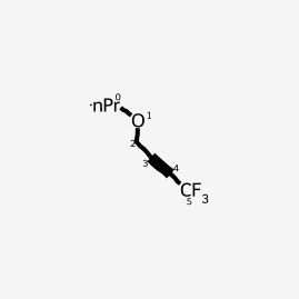 CC[CH]OCC#CC(F)(F)F